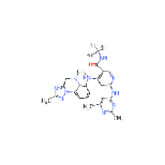 [2H]C([2H])([2H])NC(=O)c1cnc(Nc2cc(C)nc(C)n2)cc1Nc1cccc2c1N(C)Cc1nc(C)nn1-2